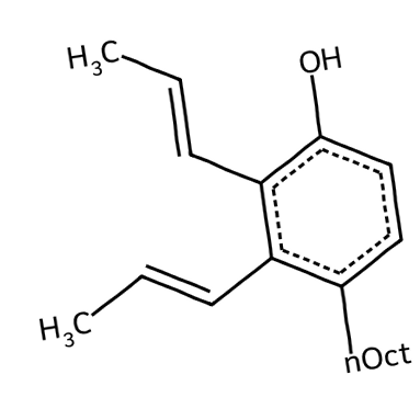 CC=Cc1c(O)ccc(CCCCCCCC)c1C=CC